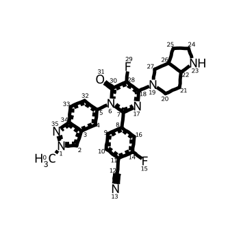 Cn1cc2cc(-n3c(-c4ccc(C#N)c(F)c4)nc(N4CCC5NCCC5C4)c(F)c3=O)ccc2n1